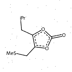 CSCc1oc(=O)oc1CC(C)C